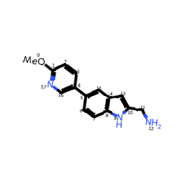 COc1ccc(-c2ccc3[nH]c(CN)cc3c2)cn1